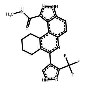 CNC(=O)c1n[nH]c2ccc3nc(-c4c[nH]nc4C(F)(F)F)c4c(c3c12)CCCC4